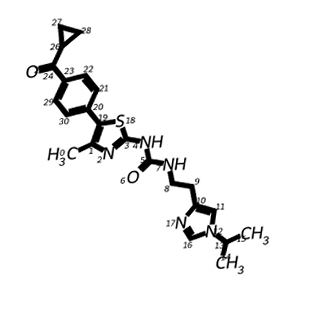 Cc1nc(NC(=O)NCCc2cn(C(C)C)cn2)sc1-c1ccc(C(=O)C2CC2)cc1